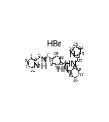 Br.c1ccc(CNCc2ccc(CN[C@@H]3CCCC[C@H]3NCc3ccccn3)cc2)nc1